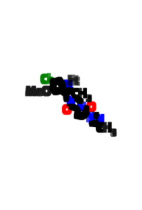 CCn1cc(CN2C(=O)c3ccc(-n4cnc(C)c4)c(=O)n3C[C@@H]2C)c2cc(OC)c(Cl)cc21